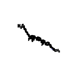 C/C=C/CCC1CC=C(c2ccc(-c3ccc(-c4ccc(CCCCCCCCC)c(F)c4F)cc3)cc2F)CC1